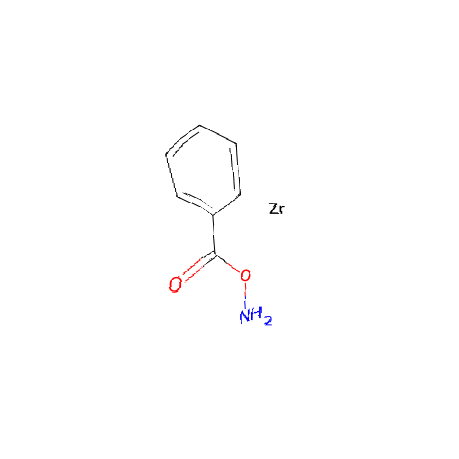 NOC(=O)c1ccccc1.[Zr]